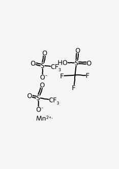 O=S(=O)(O)C(F)(F)F.O=S(=O)([O-])C(F)(F)F.O=S(=O)([O-])C(F)(F)F.[Mn+2]